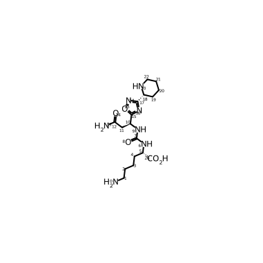 NCCCC[C@H](NC(=O)N[C@@H](CC(N)=O)c1nc([C@H]2CCCCN2)no1)C(=O)O